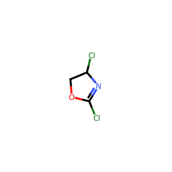 ClC1=NC(Cl)CO1